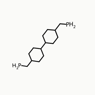 PCC1CCC(C2CCC(CP)CC2)CC1